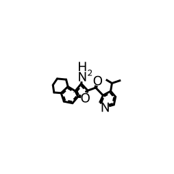 CC(C)c1ccncc1C(=O)c1oc2ccc3c(c2c1N)CCCC3